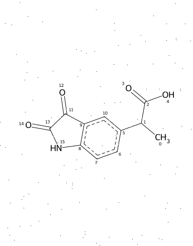 CC(C(=O)O)c1ccc2c(c1)C(=O)C(=O)N2